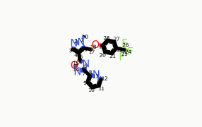 Cn1ncc(-c2nc(-c3ccccn3)no2)c1COc1ccc(C(F)(F)F)cc1